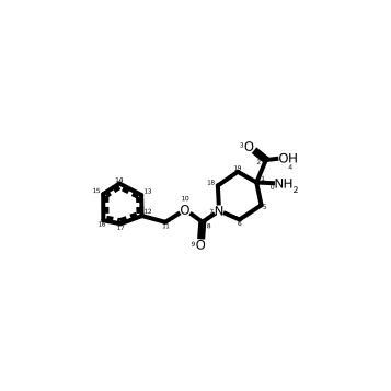 NC1(C(=O)O)CCN(C(=O)OCc2ccccc2)CC1